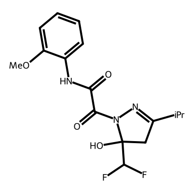 COc1ccccc1NC(=O)C(=O)N1N=C(C(C)C)CC1(O)C(F)F